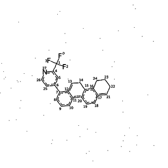 FC(F)(F)c1cc(-c2cccc3c2=CCc2c4c(ccc2=3)=CCCC4)ccn1